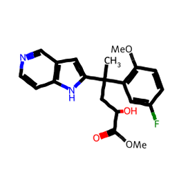 COC(=O)C(O)CC(C)(c1cc2cnccc2[nH]1)c1cc(F)ccc1OC